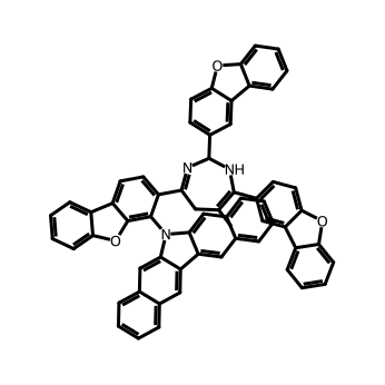 CC1=C(c2ccc3oc4ccccc4c3c2)NC(c2ccc3oc4ccccc4c3c2)N=C(c2ccc3c(oc4ccccc43)c2-n2c3cc4ccccc4cc3c3cc4ccccc4cc32)C1